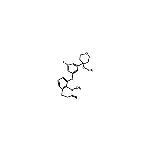 COC1(c2cc(F)cc(Sc3cccc4c3N(C)C(=S)CC4)c2)CCOCC1